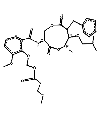 COCCC(=O)OCOc1c(OC)ccnc1C(=O)N[C@H]1COC(=O)C(Cc2ccccc2)[C@@H](OCC(C)C)[C@H](C)OC1=O